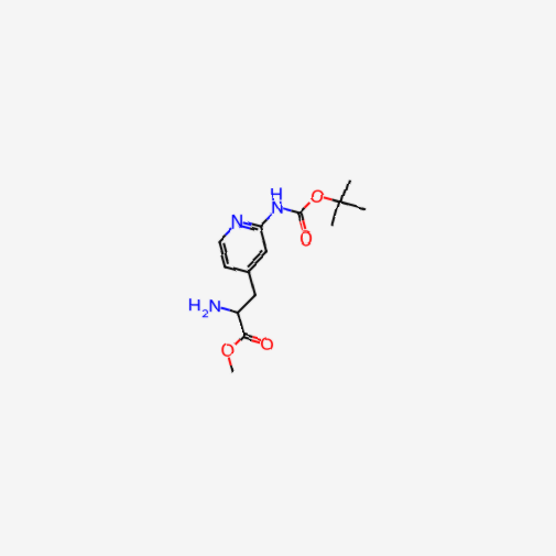 COC(=O)C(N)Cc1ccnc(NC(=O)OC(C)(C)C)c1